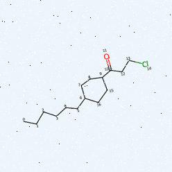 CCCCCCC1CCC(C(=O)CCCl)CC1